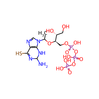 CC(O[C@H](COP(=O)(O)OP(=O)(O)OP(=O)(O)O)[C@H](O)CO)n1cnc2c1NC(N)N=C2S